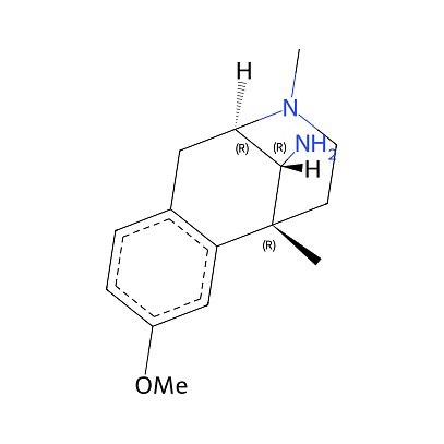 COc1ccc2c(c1)[C@@]1(C)CCN(C)[C@H](C2)[C@@H]1N